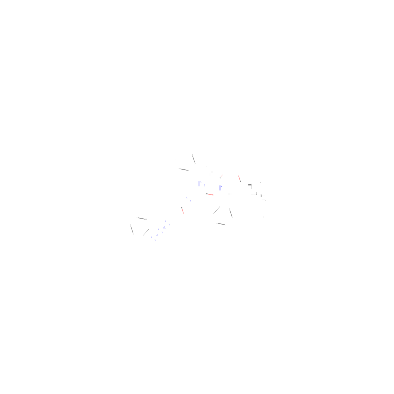 CC(C)C[C@H](NC(=O)[C@H](CC1=CCCC=C1)NC(=O)[C@H](Cc1ccccc1)NC(=O)CC(Cc1ccccc1)N=[N+]=[N-])C(=O)[C@@]1(C)CO1